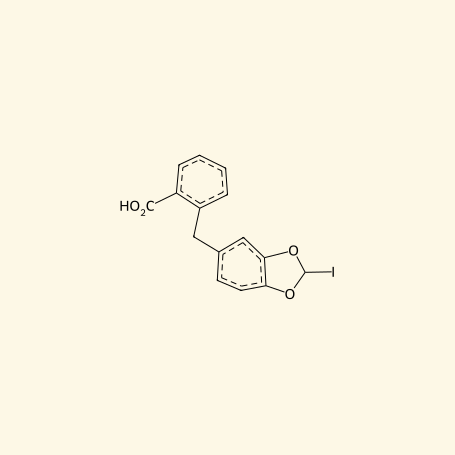 O=C(O)c1ccccc1Cc1ccc2c(c1)OC(I)O2